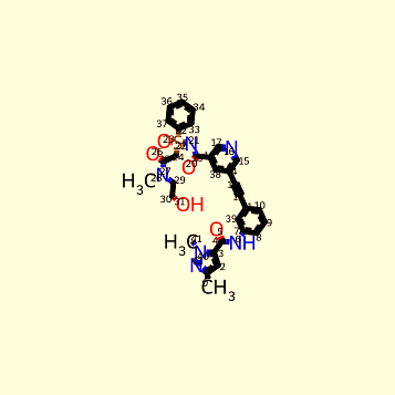 Cc1cc(C(=O)Nc2cccc(C#Cc3cncc(C(=O)N=S(=O)(CC(=O)N(C)CCO)c4ccccc4)c3)c2)n(C)n1